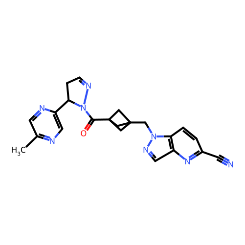 Cc1cnc(C2CC=NN2C(=O)C23CC(Cn4ncc5nc(C#N)ccc54)(C2)C3)cn1